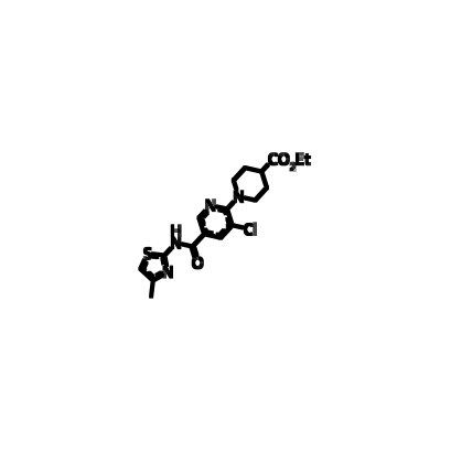 CCOC(=O)C1CCN(c2ncc(C(=O)Nc3nc(C)cs3)cc2Cl)CC1